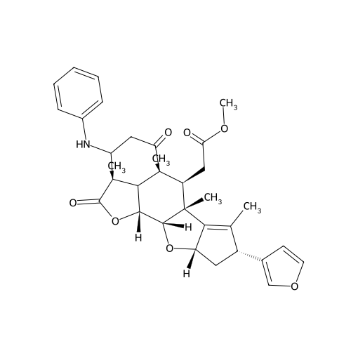 COC(=O)C[C@H]1[C@]2(C)C3=C(C)[C@H](c4ccoc4)C[C@@H]3O[C@@H]2[C@@H]2OC(=O)[C@]3(C)C(Nc4ccccc4)CC(=O)[C@@]1(C)C23